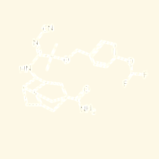 CC(C)(OCc1ccc(OC(F)F)cc1)/C(=N\C#N)NC1C2CC3CC1CC(C(N)=O)(C3)C2